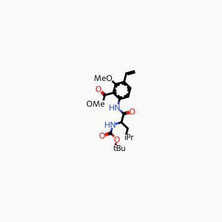 C=Cc1ccc(NC(=O)C(CC(C)C)NC(=O)OC(C)(C)C)c(C(=O)OC)c1OC